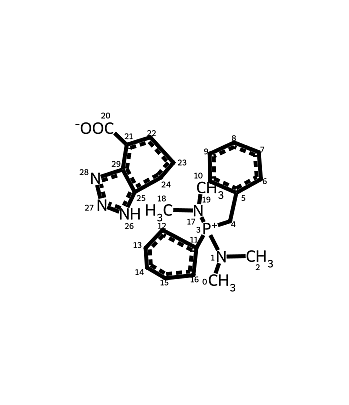 CN(C)[P+](Cc1ccccc1)(c1ccccc1)N(C)C.O=C([O-])c1cccc2[nH]nnc12